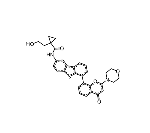 O=C(Nc1ccc2sc3c(-c4cccc5c(=O)cc(N6CCOCC6)oc45)cccc3c2c1)C1(CCO)CC1